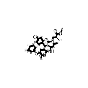 C=C1C=C(Nc2ccc(Oc3cccc(F)c3)c(C)n2)N(Cc2ccc(Cl)cc2)C(=O)N1C[C@H](C)C(=O)OC